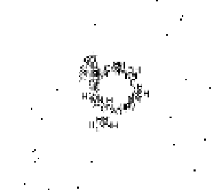 CC[C@H](C)[C@@H]1NC(=O)[C@@H](CCCNC(=N)N)NC(=O)[C@H](CC(C)C)NC(=O)[C@H]([C@@H](C)O)NC(=O)[C@@H](NC(=O)[C@H](CC(C)(C)C)NC(=O)[C@@H](CC(C)(C)C)NC(=O)OC(C)(C)C)[C@@H](c2ccccc2)NC(=O)C(CO)NC(=O)[C@H](CO)NC(=O)CNC(=O)[C@H]([C@H](C)O)NC1=O